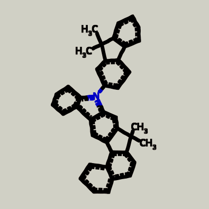 CC1(C)c2ccccc2-c2ccc(-n3c4ccccc4c4cc5c(cc43)C(C)(C)c3ccc4ccccc4c3-5)cc21